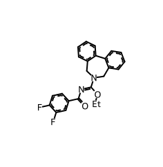 CCOC(=NC(=O)c1ccc(F)c(F)c1)N1Cc2ccccc2-c2ccccc2C1